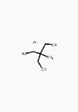 NC(CO)(CO)CO.[Pr]